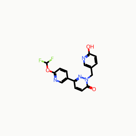 O=c1ccc(-c2ccc(OC(F)F)nc2)nn1Cc1ccc(O)nc1